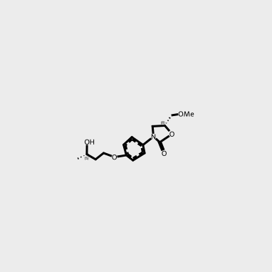 COC[C@H]1CN(c2ccc(OCC[C@H](C)O)cc2)C(=O)O1